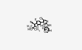 CC(C)(O)c1oc2cc(-c3nc(N[C@@H]4C[C@H]5CO[C@H](O5)[C@H]4O)ncc3Cl)cc(F)c2c1C#N